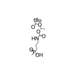 CC(OC(=O)NCCCP(C)(=O)O)OC(=O)C(C)(C)C